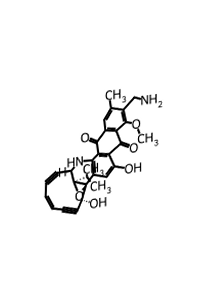 COc1c(CN)c(C)cc2c1C(=O)c1c(O)cc3c(c1C2=O)N[C@H]1C#C/C=C\C#C[C@@H](O)[C@@]32O[C@@]12C(C)C